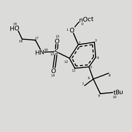 CCCCCCCCOc1ccc(C(C)(C)CC(C)(C)C)cc1S(=O)(=O)NCCO